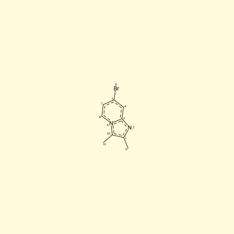 Cc1nc2cc(Br)ccn2c1C